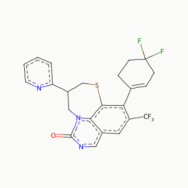 O=c1ncc2cc(C(F)(F)F)c(C3=CCC(F)(F)CC3)c3c2n1CC(c1ccccn1)CS3